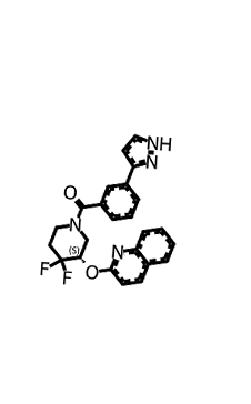 O=C(c1cccc(-c2cc[nH]n2)c1)N1CCC(F)(F)[C@@H](Oc2ccc3ccccc3n2)C1